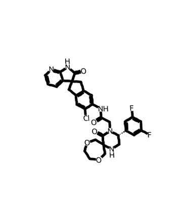 O=C(CN1C(=O)C2(COCCOC2)NC[C@H]1c1cc(F)cc(F)c1)Nc1cc2c(cc1Cl)CC1(C2)C(=O)Nc2ncccc21